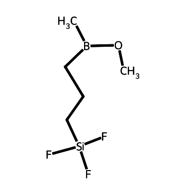 COB(C)CCC[Si](F)(F)F